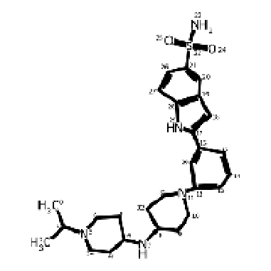 CC(C)N1CCC(NC2CCN(c3cccc(-c4cc5cc(S(N)(=O)=O)ccc5[nH]4)c3)CC2)CC1